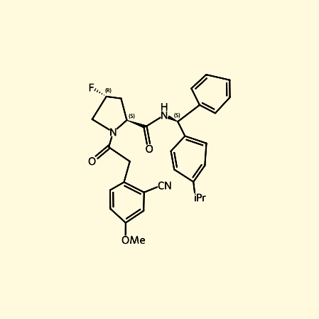 COc1ccc(CC(=O)N2C[C@H](F)C[C@H]2C(=O)N[C@@H](c2ccccc2)c2ccc(C(C)C)cc2)c(C#N)c1